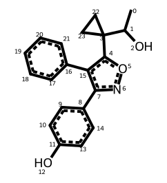 CC(O)C1(c2onc(-c3ccc(O)cc3)c2-c2ccccc2)CC1